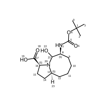 CC(C)(C)OC(=O)N[C@H]1CCCC[C@H]2CC[C@@H](C(=O)O)N2C1O